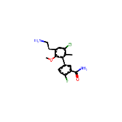 COc1c(CCN)cc(Cl)c(C)c1-c1ccc(F)c(C(N)=O)c1